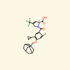 O=C(O)[C@@H]1C=C(C(F)(F)F)CN1C(=O)c1cc(C2CC2)c(OCC23CC4CC(CC(C4)C2)C3)cc1F